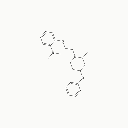 CC1CC(Oc2ccccc2)CCN1CCOc1ccccc1N(C)C